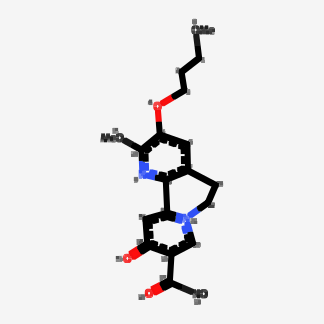 COCCCOc1cc2c(nc1OC)-c1cc(=O)c(C(=O)N=O)cn1CC2